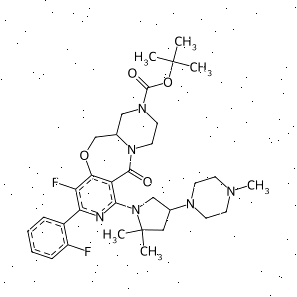 CN1CCN(C2CN(c3nc(-c4ccccc4F)c(F)c4c3C(=O)N3CCN(C(=O)OC(C)(C)C)CC3CO4)C(C)(C)C2)CC1